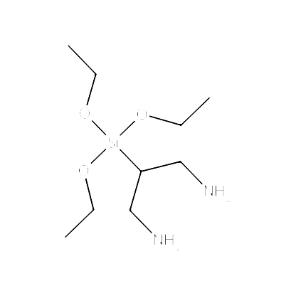 CCO[Si](OCC)(OCC)C(CN)CN